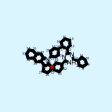 N/C(=N\C(=N/Cc1ccccc1)c1ccccc1-c1ccc(-n2c3ccccc3c3cc4ccccc4cc32)cc1)c1ccccc1